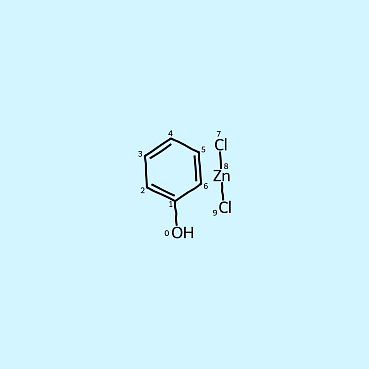 Oc1ccccc1.[Cl][Zn][Cl]